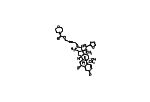 C[C@@H]1C[C@H]2[C@@H]3C[C@H](F)C4=CC(=O)C=C[C@]4(C)[C@@]3(F)[C@@H](O)C[C@]2(C)[C@@]1(OC(=O)c1ccco1)C(=O)SCC#CCOC(=O)N1CCOCC1